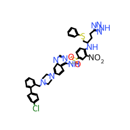 O=[N+]([O-])c1cc(S(=O)(=O)Nc2ncnc3cc(N4CCN(Cc5ccccc5-c5ccc(Cl)cc5)CC4)ccc23)ccc1NC(CCc1nn[nH]n1)CSc1ccccc1